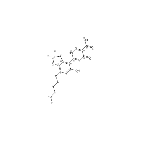 COCCCOc1cc(O)c(-c2cc(=O)c(C(=O)O)c[nH]2)c2c1OC(C)(C)C2